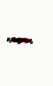 C=CC(=O)OCOc1ccc2cc(C(=O)Oc3ccc(OC(=O)c4ccc5cc(OCOC(=O)C=C)ccc5c4)c(C#N)c3)ccc2c1